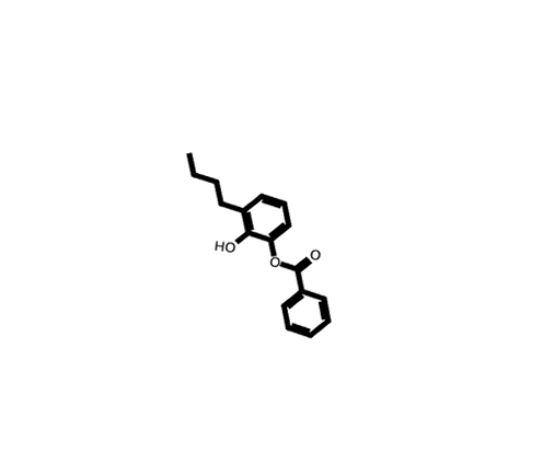 CCCCc1cccc(OC(=O)c2ccccc2)c1O